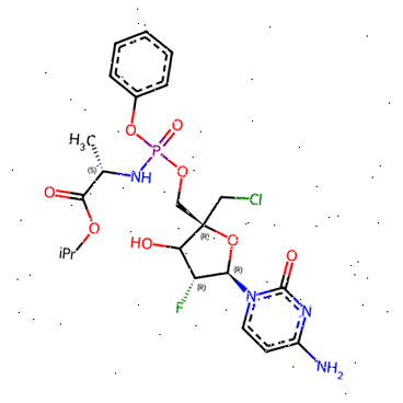 CC(C)OC(=O)[C@H](C)NP(=O)(OC[C@@]1(CCl)O[C@@H](n2ccc(N)nc2=O)[C@H](F)C1O)Oc1ccccc1